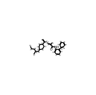 C=C(S/C=C(\C)C(=O)Nc1ccccc1-c1ccccc1)C1CCC(CC(C)CCC)CC1